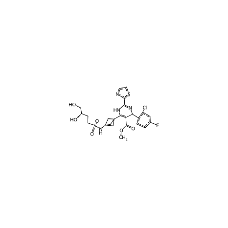 COC(=O)C1=C(C23CC(NS(=O)(=O)CC[C@@H](O)CO)(C2)C3)NC(c2nccs2)=NC1c1ccc(F)cc1Cl